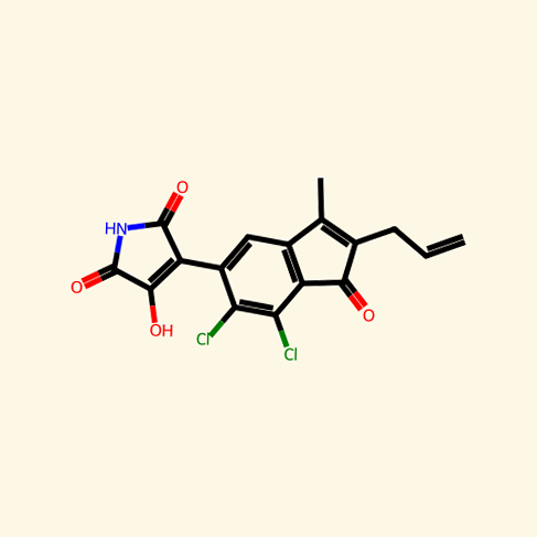 C=CCC1=C(C)c2cc(C3=C(O)C(=O)NC3=O)c(Cl)c(Cl)c2C1=O